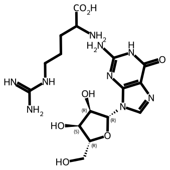 N=C(N)NCCCC(N)C(=O)O.Nc1nc2c(ncn2[C@@H]2O[C@H](CO)[C@@H](O)[C@H]2O)c(=O)[nH]1